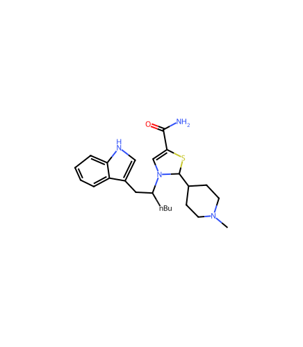 CCCCC(Cc1c[nH]c2ccccc12)N1C=C(C(N)=O)SC1C1CCN(C)CC1